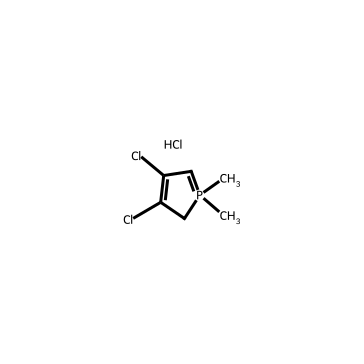 CP1(C)=CC(Cl)=C(Cl)C1.Cl